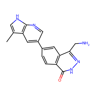 Cc1c[nH]c2ncc(-c3ccc4c(=O)[nH]nc(CN)c4c3)cc12